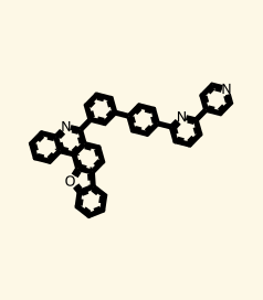 c1cc(-c2ccc(-c3cccc(-c4ccncc4)n3)cc2)cc(-c2nc3ccccc3c3c2ccc2c4ccccc4oc23)c1